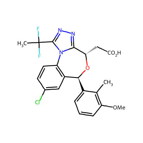 COc1cccc([C@@H]2O[C@@H](CC(=O)O)c3nnc(C(C)(F)F)n3-c3ccc(Cl)cc32)c1C